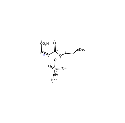 CCCCCCCCCCCCOC(=O)/C=C\C(=O)O.CCCS(=O)(=O)[O-].[Na+]